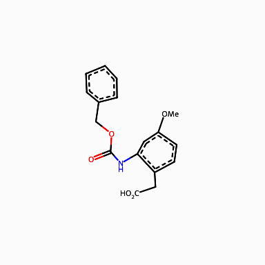 COc1ccc(CC(=O)O)c(NC(=O)OCc2ccccc2)c1